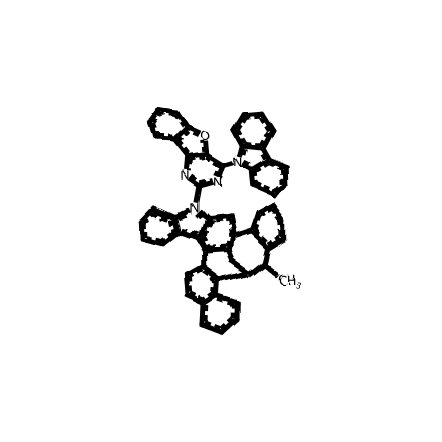 CC1c2ccccc2-c2cc3c(c4c2CC1c1c-4ccc2ccccc12)c1ccccc1n3-c1nc(-n2c3ccccc3c3ccccc32)c2oc3ccccc3c2n1